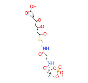 COP1(=O)OCC(C)(C)[C@H](C(=O)NCCC(=O)NCCSC(=O)CC(=O)CC(=O)/C=C/C(=O)O)O1